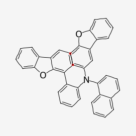 c1ccc(N(c2ccc3oc4ccccc4c3c2)c2cccc3ccccc23)c(-c2cccc3c2oc2ccccc23)c1